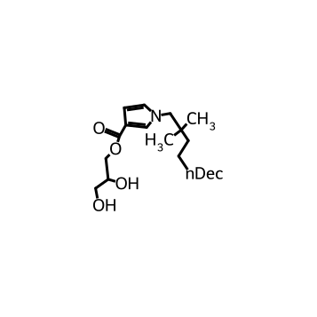 CCCCCCCCCCCCC(C)(C)Cn1ccc(C(=O)OCC(O)CO)c1